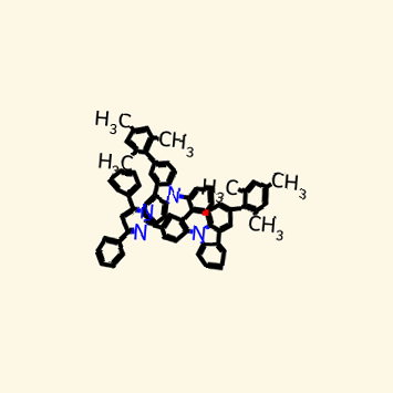 Cc1cc(C)c(-c2ccc3c(c2)c2ccccc2n3-c2ccccc2-c2cc(-c3nc(-c4ccccc4)cc(-c4ccccc4)n3)ccc2-n2c3ccccc3c3cc(-c4c(C)cc(C)cc4C)ccc32)c(C)c1